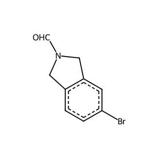 O=CN1Cc2ccc(Br)cc2C1